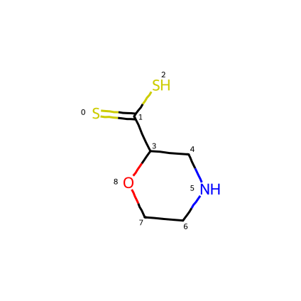 S=C(S)C1CNCCO1